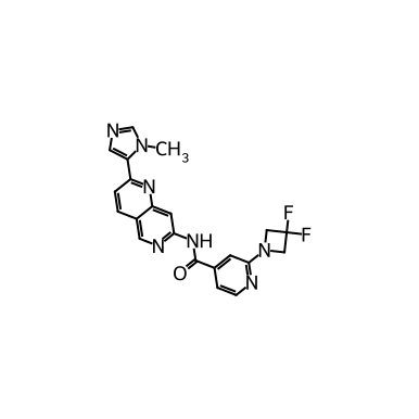 Cn1cncc1-c1ccc2cnc(NC(=O)c3ccnc(N4CC(F)(F)C4)c3)cc2n1